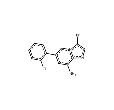 Nc1cc(-c2ccccc2Cl)cn2c(Br)cnc12